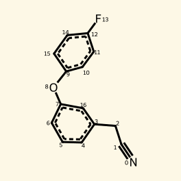 N#CCc1cccc(Oc2ccc(F)cc2)c1